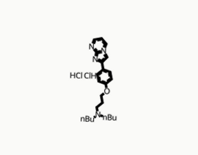 CCCCN(CCCC)CCCOc1ccc(-c2cn3cccnc3n2)cc1.Cl.Cl